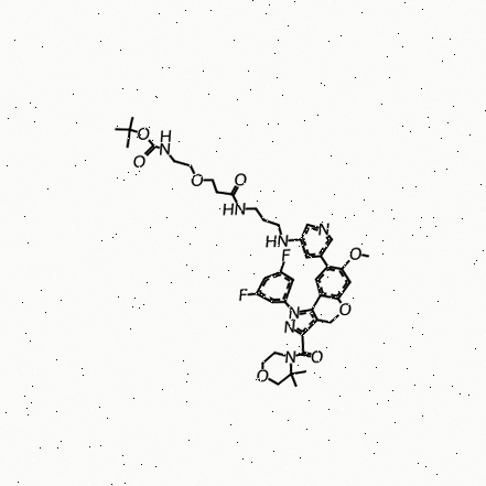 COc1cc2c(cc1-c1cncc(NCCCNC(=O)CCOCCNC(=O)OC(C)(C)C)c1)-c1c(c(C(=O)N3CCOCC3(C)C)nn1-c1cc(F)cc(F)c1)CO2